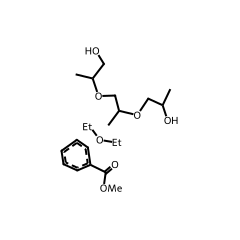 CC(O)COC(C)COC(C)CO.CCOCC.COC(=O)c1ccccc1